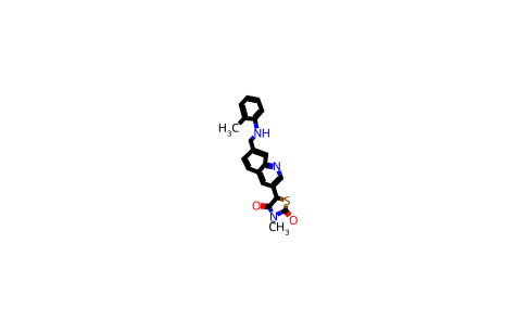 Cc1ccccc1NCc1ccc2cc(C3SC(=O)N(C)C3=O)cnc2c1